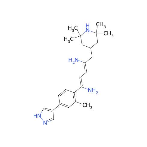 Cc1cc(-c2cn[nH]c2)ccc1/C(N)=C/C=C(\N)CC1CC(C)(C)NC(C)(C)C1